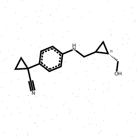 N#CC1(c2ccc(NCC3C[C@@H]3CO)cc2)CC1